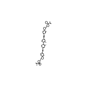 C=C(C)C(=O)OCCOc1ccc(C#Cc2ccc(-c3ccc(C#Cc4ccc(OCCOC(=O)C(=C)C)cc4)cc3C)c(C)c2)cc1